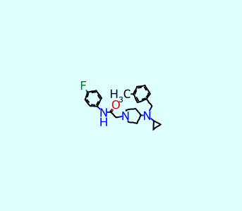 Cc1cccc(CN(C2CC2)C2CCN(CC(=O)Nc3ccc(F)cc3)CC2)c1